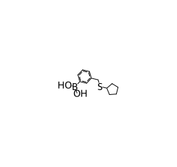 OB(O)c1cccc(CSC2CCCC2)c1